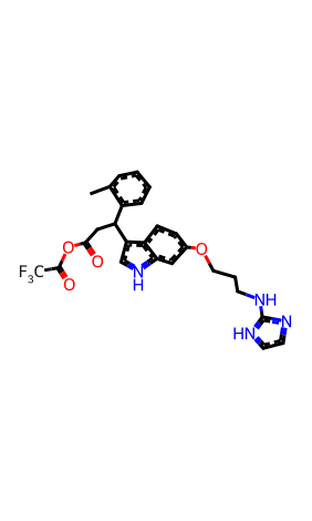 Cc1ccccc1C(CC(=O)OC(=O)C(F)(F)F)c1c[nH]c2cc(OCCCNc3ncc[nH]3)ccc12